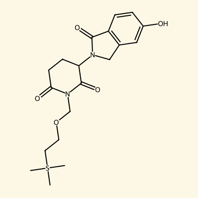 CS(C)(C)CCOCN1C(=O)CCC(N2Cc3cc(O)ccc3C2=O)C1=O